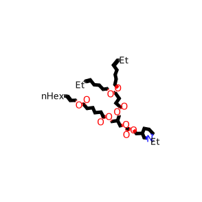 CC/C=C\CCCCOC(CCC(=O)OCC(COC(=O)CCCCC(=O)OC/C=C/CCCCCC)COC(=O)OCC1CCCN(CC)C1)OCCCC/C=C\CC